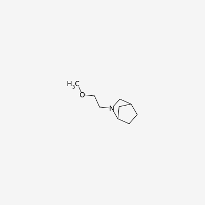 COCCN1CC2CCC1C2